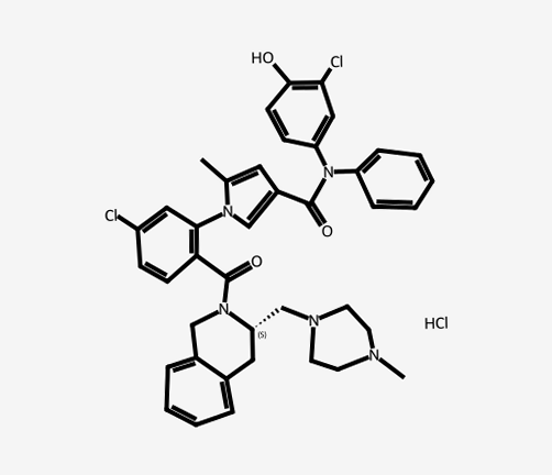 Cc1cc(C(=O)N(c2ccccc2)c2ccc(O)c(Cl)c2)cn1-c1cc(Cl)ccc1C(=O)N1Cc2ccccc2C[C@H]1CN1CCN(C)CC1.Cl